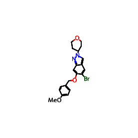 COc1ccc(COc2cc3nn(C4CCOCC4)cc3cc2Br)cc1